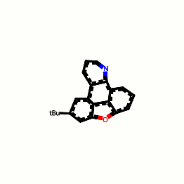 CC(C)(C)c1cc2oc3cccc4c5ncccc5c(c1)c2c34